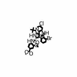 COC(=O)c1ccc(NC(=O)[C@@H]2N[C@@H](CC(C)(C)C)[C@]3(C(=O)Nc4cc(Cl)cnc43)[C@H]2c2cccc(Br)c2F)c(OC)c1